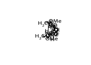 C=Cc1cnc(C(=O)Nc2cccc(-c3cccc(NC(=O)c4cc(OC)c(C=C)cn4)c3C)c2C)cc1OC